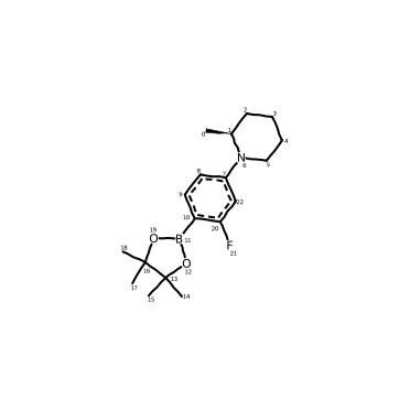 C[C@H]1CCCCN1c1ccc(B2OC(C)(C)C(C)(C)O2)c(F)c1